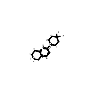 FC1(F)CCN(c2ccc3c(n2)CCNC3)CC1